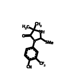 CSC1NC(C)(C)C(=O)N1c1ccc(C#N)c(C(F)(F)F)c1